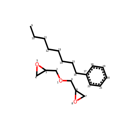 C(OCC1CO1)C1CO1.CCCCCCCCc1ccccc1